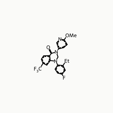 CCc1cc(F)ccc1N1CN(c2ccc(OC)nc2)C(=O)c2ccc(C(F)(F)F)cc21